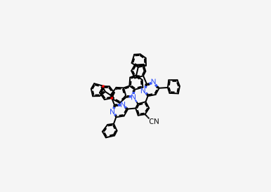 N#Cc1cc(-c2cc(-c3ccccc3)nc(-c3ccccc3)n2)c(-n2c3ccc(-c4ccccc4)cc3c3cc(-c4ccccc4)ccc32)c(-c2cc(-c3ccccc3)nc(-c3ccccc3)n2)c1